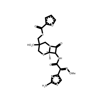 CON=C(C(=O)NC1C(=O)N2CC(CSC(=O)c3ccco3)(C(=O)O)CS[C@H]12)c1csc(N)n1